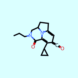 CCCN1CC2CCC3=CC(=C=O)C(C4CC4)=C(C1=O)N32